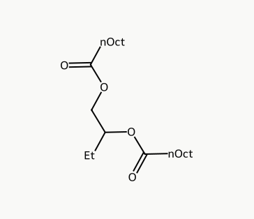 CCCCCCCCC(=O)OCC(CC)OC(=O)CCCCCCCC